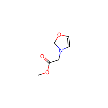 COC(=O)CN1C=COC1